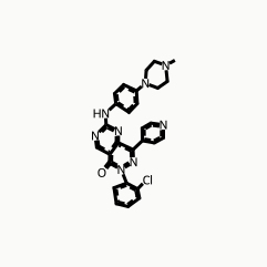 CN1CCN(c2ccc(Nc3ncc4c(=O)n(-c5ccccc5Cl)nc(-c5ccncc5)c4n3)cc2)CC1